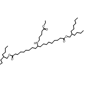 CCCCCCC(CCCC)COC(=O)CCCCCCCCC(CCCCCCCCC(=O)OCC(CCCC)CCCCCC)NCCCCC(=O)OCC